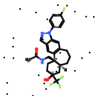 CC(=O)NC[C@]12CC[C@@](O)(C(F)(F)F)C[C@@H]1CCCc1cc3c(cnn3-c3ccc(F)cc3)cc12